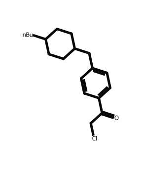 CCCCC1CCC(Cc2ccc(C(=O)CCl)cc2)CC1